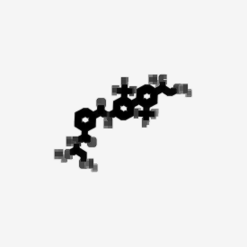 CCC(C)NC(=O)c1cccc(C(=O)Nc2ccc(-c3ccc(C(C)CC)cc3C(F)(F)F)c(C(F)(F)F)c2)c1